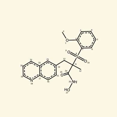 COc1ccccc1S(=O)(=O)C(C)(Cc1ccc2ncccc2c1)C(=O)NO